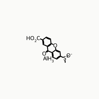 C[S+]([O-])c1ccc2c(=O)c3cc(C(=O)O)ccc3oc2c1.[AlH3]